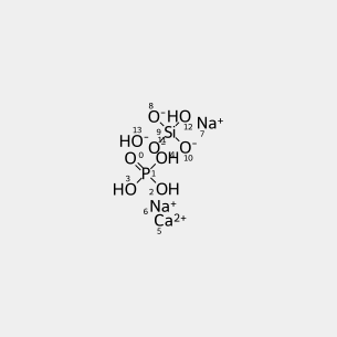 O=P(O)(O)O.[Ca+2].[Na+].[Na+].[O-][Si]([O-])([O-])O.[OH-]